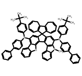 Cn1c2ccccc2c2c3c(cc(N(c4ccc(-c5ccccc5)cc4)c4ccc(C(C)(C)C)cc4)c21)C1(C2=C(CC=CC=C2)C2=C1C=CC=CC2)c1cc(N(c2ccc(-c4ccccc4)cc2)c2ccc(C(C)(C)C)cc2)c2c(oc4ccccc42)c1-3